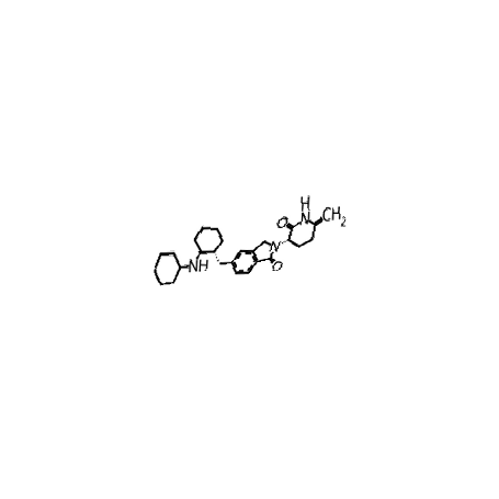 C=C1CC[C@H](N2Cc3cc(C[C@H]4CCCC[C@@H]4NC4CCCCC4)ccc3C2=O)C(=O)N1